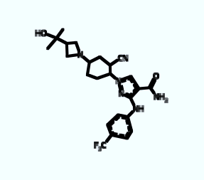 CC(C)(O)C1CN(C2CCC(n3cc(C(N)=O)c(Nc4ccc(C(F)(F)F)cc4)n3)C(C#N)C2)C1